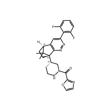 CC1(C)[C@H]2CC[C@]1([C@H]1CCBN(C(=O)c3ncco3)C1)c1nnc(-c3c(F)cccc3F)cc12